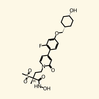 C[C@@](CCn1ccc(-c2ccc(OC[C@H]3CC[C@@H](O)CC3)cc2F)cc1=O)(C(=O)NO)S(C)(=O)=O